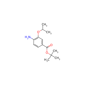 CC(C)Oc1cc(C(=O)OC(C)(C)C)ccc1N